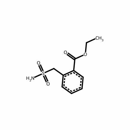 CCOC(=O)c1ccccc1CS(N)(=O)=O